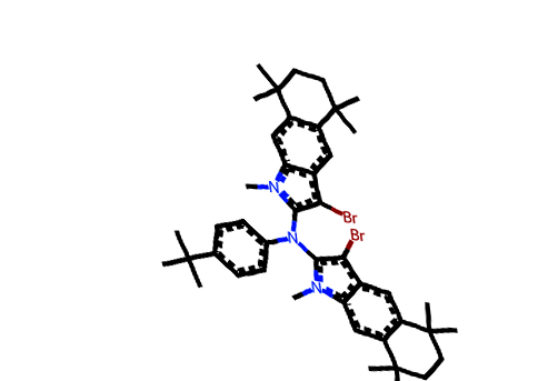 Cn1c(N(c2ccc(C(C)(C)C)cc2)c2c(Br)c3cc4c(cc3n2C)C(C)(C)CCC4(C)C)c(Br)c2cc3c(cc21)C(C)(C)CCC3(C)C